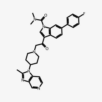 Cc1nc2cnccc2n1C1CCN(CC(=O)c2cn(C(=O)N(C)C)c3cc(-c4ccc(F)cc4)ccc23)CC1